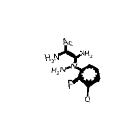 CC(=O)/C(N)=C(\N)N(N)c1cccc(Cl)c1F